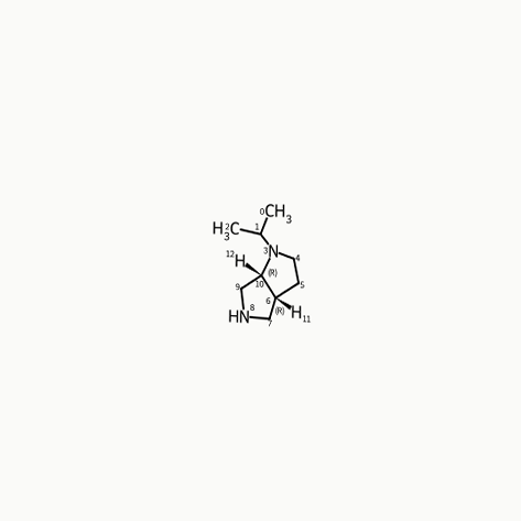 CC(C)N1CC[C@@H]2CNC[C@@H]21